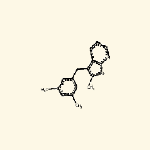 Cc1cc(C)cc(Cc2c(C)[nH]c3ncccc23)c1